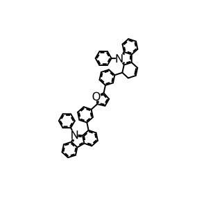 C1=Cc2c(n(-c3ccccc3)c3ccccc23)C(c2cccc(-c3ccc(-c4cccc(-c5cccc6c7ccccc7n(-c7ccccc7)c56)c4)o3)c2)C1